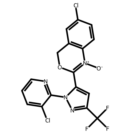 [O-][N+]1=C(c2cc(C(F)(F)F)nn2-c2ncccc2Cl)OCc2cc(Cl)ccc21